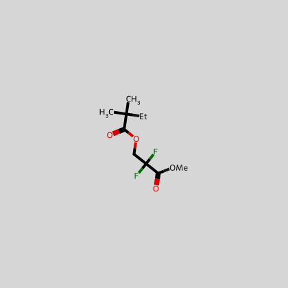 CCC(C)(C)C(=O)OCC(F)(F)C(=O)OC